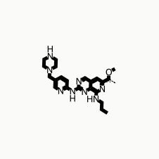 CCCNc1nc([C@@H](C)OC)cc2cnc(Nc3ccc(CN4CCNCC4)cn3)nc12